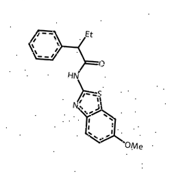 CCC(C(=O)Nc1nc2ccc(OC)cc2s1)c1ccccc1